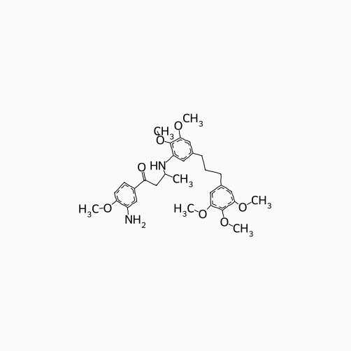 COc1ccc(C(=O)CC(C)Nc2cc(CCCc3cc(OC)c(OC)c(OC)c3)cc(OC)c2OC)cc1N